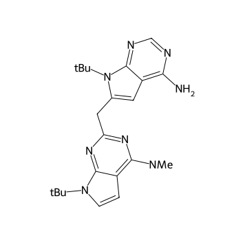 CNc1nc(Cc2cc3c(N)ncnc3n2C(C)(C)C)nc2c1ccn2C(C)(C)C